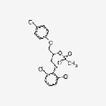 CS(=O)(=O)OC(COc1ccc(Cl)cc1)CSc1c(Cl)cccc1Cl